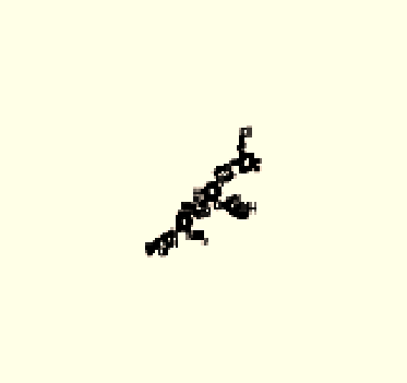 CC1(C)CCC(CN2CCN(c3ccc(C(=O)NS(=O)(=O)c4ccc(NCC5COC6(CC6)C5)c(N)c4)c(Oc4cnc5[nH]ccc5c4)c3)CC2)=C(CCCCl)C1